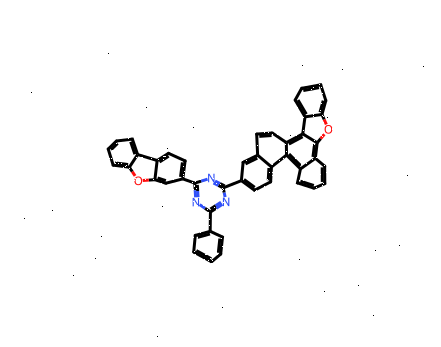 c1ccc(-c2nc(-c3ccc4c(ccc5c4c4ccccc4c4oc6ccccc6c54)c3)nc(-c3ccc4c(c3)oc3ccccc34)n2)cc1